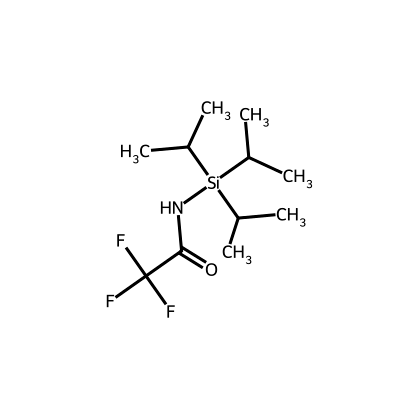 CC(C)[Si](NC(=O)C(F)(F)F)(C(C)C)C(C)C